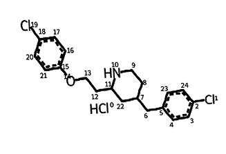 Cl.Clc1ccc(CC2CCNC(CCOc3ccc(Cl)cc3)C2)cc1